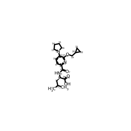 CC(C)C[C@@H](NC(=O)c1ccc(N2CCCC2)c(OCC2CC2)n1)C(=O)O